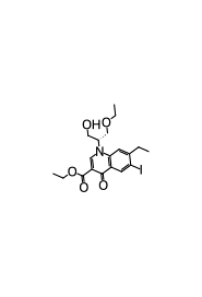 CCOC[C@@H](CO)n1cc(C(=O)OCC)c(=O)c2cc(I)c(CC)cc21